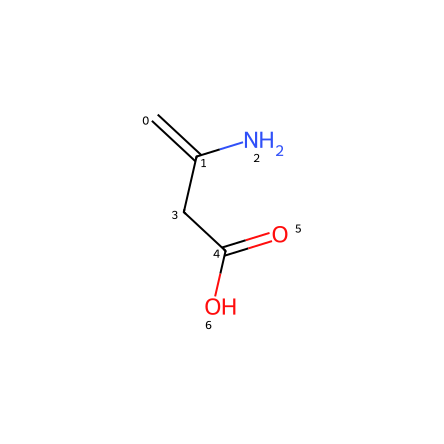 C=C(N)CC(=O)O